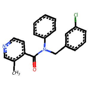 Cc1cnccc1C(=O)N(Cc1cccc(Cl)c1)c1ccccc1